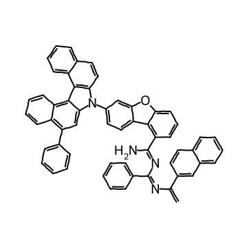 C=C(/N=C(\N=C(/N)c1cccc2oc3cc(-n4c5ccc6ccccc6c5c5c6ccccc6c(-c6ccccc6)cc54)ccc3c12)c1ccccc1)c1ccc2ccccc2c1